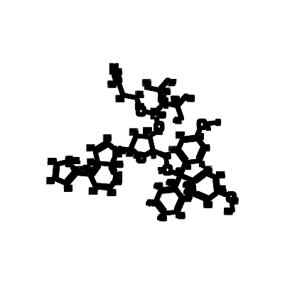 COc1ccc(C(OC[C@H]2O[C@@H](n3ccc4c(-c5cccs5)ccnc43)C[C@@H]2OP(OCCC#N)N(C(C)C)C(C)C)(c2ccccc2)c2ccc(OC)cc2)cc1